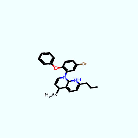 CCCC1=CC=C2C([AsH2])C=CN(c3cc(Br)ccc3Oc3ccccc3)C2N1